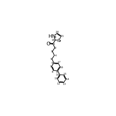 O=C(CCCCc1ccc(-c2ccccc2)cc1)C1NC=CS1